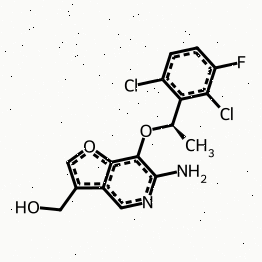 C[C@@H](Oc1c(N)ncc2c(CO)coc12)c1c(Cl)ccc(F)c1Cl